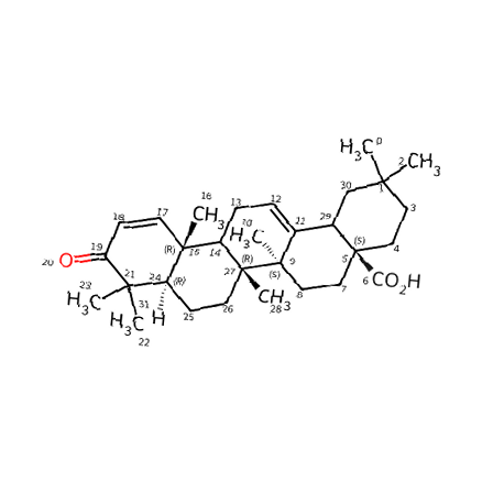 CC1(C)CC[C@]2(C(=O)O)CC[C@]3(C)C(=CCC4[C@@]5(C)C=CC(=O)C(C)(C)[C@@H]5CC[C@]43C)C2C1